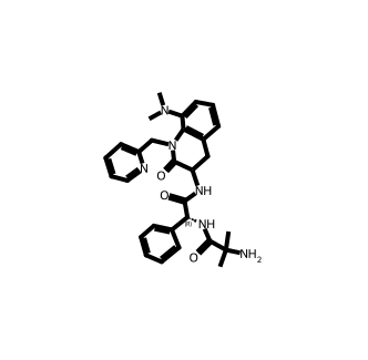 CN(C)c1cccc2c1N(Cc1ccccn1)C(=O)C(NC(=O)[C@H](NC(=O)C(C)(C)N)c1ccccc1)C2